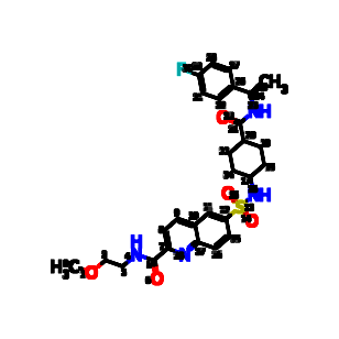 COCCNC(=O)c1ccc2cc(S(=O)(=O)NC3CCC(C(=O)N[C@H](C)c4ccc(F)cc4)CC3)ccc2n1